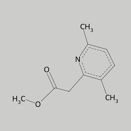 COC(=O)Cc1nc(C)ccc1C